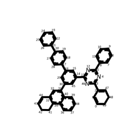 C1=CC(c2nc(-c3ccccc3)nc(-c3cc(-c4ccc(-c5ccccc5)cc4)cc(-c4cc5c(c6ccccc46)CCC=C5)c3)n2)=CCC1